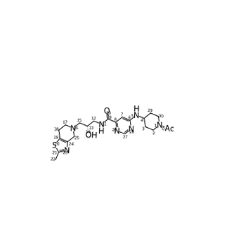 CC(=O)N1CCC(Nc2cc(C(=O)NC[C@H](O)CN3CCc4sc(C)nc4C3)ncn2)CC1